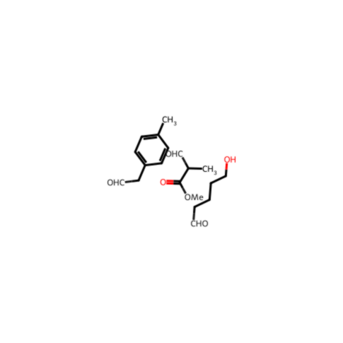 COC(=O)C(C)C=O.Cc1ccc(CC=O)cc1.O=CCCCCO